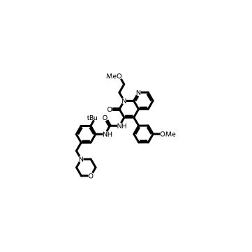 COCCn1c(=O)c(NC(=O)Nc2cc(CN3CCOCC3)ccc2C(C)(C)C)c(-c2cccc(OC)c2)c2cccnc21